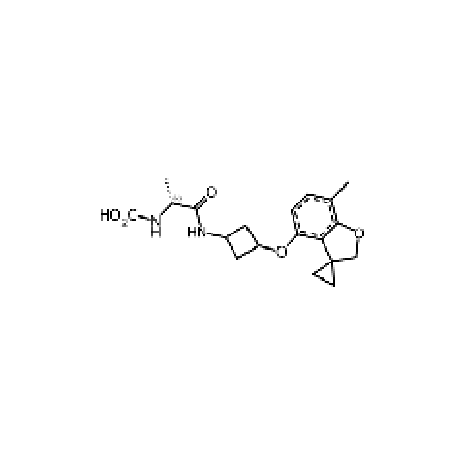 Cc1ccc(OC2CC(NC(=O)[C@@H](C)NC(=O)O)C2)c2c1OCC21CC1